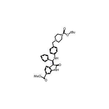 COC(=O)c1ccc2c(c1)NC(=O)/C2=C(\Nc1ccc(CN2CCN(C(=O)OC(C)(C)C)CC2)cc1)c1ccccc1